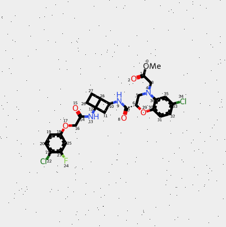 COC(=O)CN1C[C@@H](C(=O)NC2CC3(NC(=O)COc4ccc(Cl)c(F)c4)CCC23)Oc2ccc(Cl)cc21